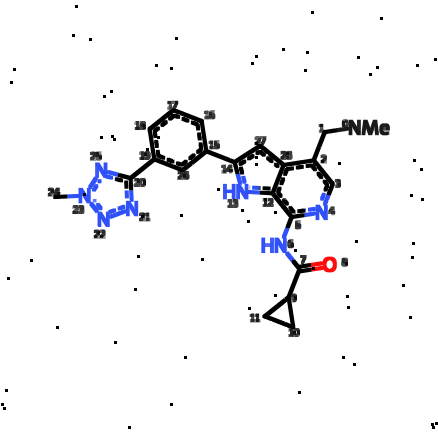 CNCc1cnc(NC(=O)C2CC2)c2[nH]c(-c3cccc(-c4nnn(C)n4)c3)cc12